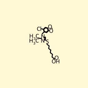 CC(C)c1nc(SCCCCCCCC(=O)O)cn1Cc1cc2c(cc1Cl)OCO2